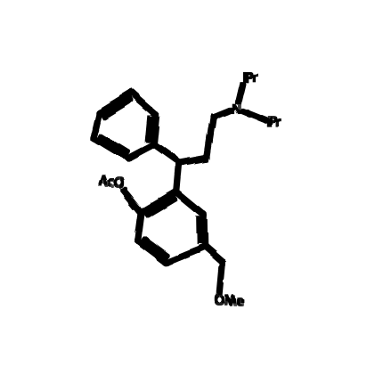 COCc1ccc(OC(C)=O)c(C(CCN(C(C)C)C(C)C)c2ccccc2)c1